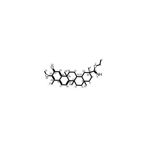 CCOC(=N)[C@]1(C)CCC2(C)CCC3(C)C4=CC=C5C(=CC(=O)C(OC)=C5C)C4(C)CCC3C2C1